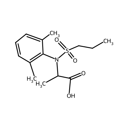 CCCS(=O)(=O)N(c1c(C)cccc1C)C(C)C(=O)O